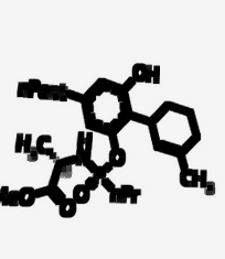 CCCCCc1cc(O)c(C2C=C(C)CCC2)c(OP(=O)(CCC)N[C@@H](C)C(=O)OC)c1